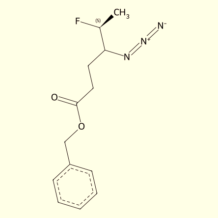 C[C@H](F)C(CCC(=O)OCc1ccccc1)N=[N+]=[N-]